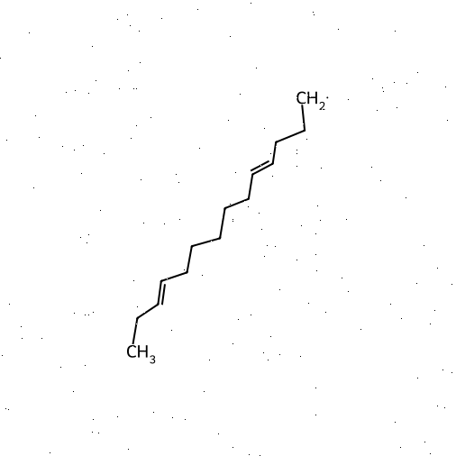 [CH2]CCC=CCCCCCC=CCC